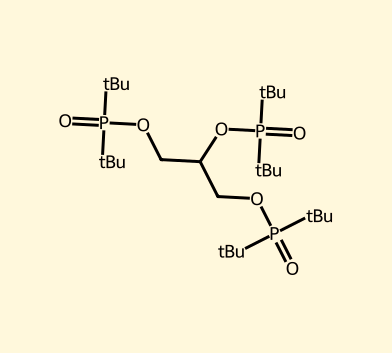 CC(C)(C)P(=O)(OCC(COP(=O)(C(C)(C)C)C(C)(C)C)OP(=O)(C(C)(C)C)C(C)(C)C)C(C)(C)C